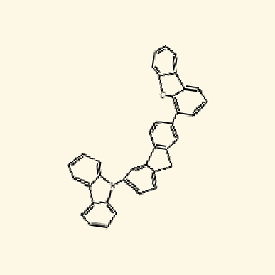 c1ccc2c(c1)oc1c(-c3ccc4c(c3)Cc3ccc(-n5c6ccccc6c6ccccc65)cc3-4)cccc12